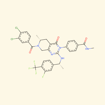 CNC(=O)c1ccc(-n2c(N[C@H](C)c3ccc(C(F)(F)F)c(F)c3)nc3c(c2=O)C[C@@H](C)N(C(=O)c2ccc(Cl)c(Cl)c2)C3)cc1